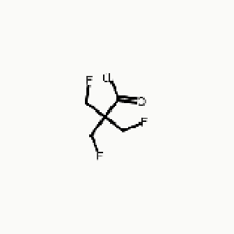 O=C(Cl)C(CF)(CF)CF